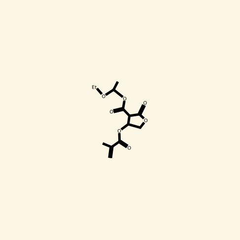 C=C(C)C(=O)OC1COC(=O)C1C(=O)OC(C)OCC